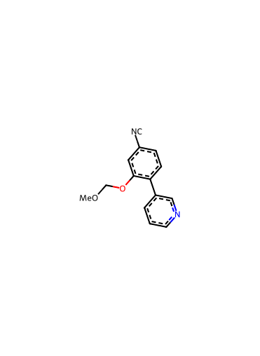 [C-]#[N+]c1ccc(-c2cccnc2)c(OCOC)c1